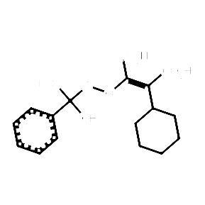 CC(C)(OOC(C(=O)O)=C(C(=O)O)C1CCCCC1)c1ccccc1